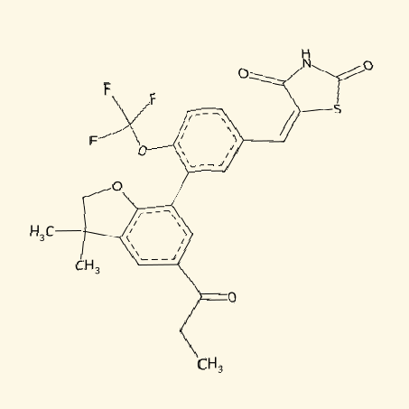 CCC(=O)c1cc(-c2cc(/C=C3/SC(=O)NC3=O)ccc2OC(F)(F)F)c2c(c1)C(C)(C)CO2